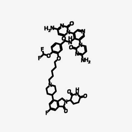 Nc1ccn(-c2cncc(-n3ccc(N)nc3=O)c2NC(=O)c2ccc(OC(F)F)c(OCCCCCN3CCC(c4cc(F)cc5c4CN(C4CCC(=O)NC4=O)C5=O)CC3)c2)c(=O)n1